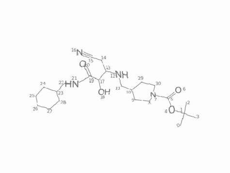 CC(C)(C)OC(=O)N1CCC(CNC(CC#N)C(O)C(=O)NCC2CCCCC2)CC1